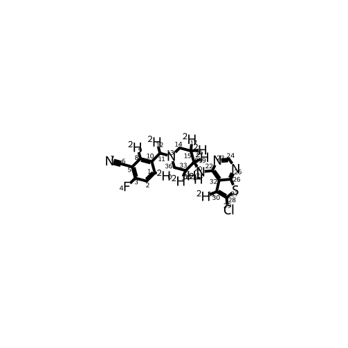 [2H]c1cc(F)c(C#N)c([2H])c1C([2H])N1CC([2H])([2H])C([2H])(N([2H])c2ncnc3sc(Cl)c([2H])c23)C([2H])([2H])C1